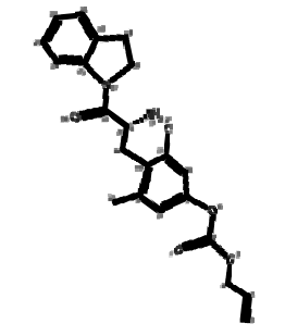 C=CCOC(=O)Oc1cc(C)c(C[C@@H](N)C(=O)N2CCc3ccccc32)c(Cl)c1